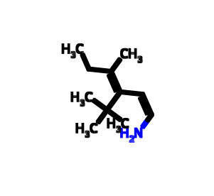 CC/C(C)=C(/C=C\N)C(C)(C)C